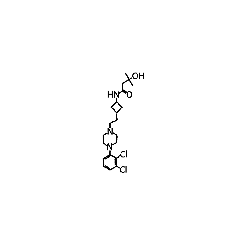 CC(C)(O)CC(=O)N[C@H]1C[C@@H](CCN2CCN(c3cccc(Cl)c3Cl)CC2)C1